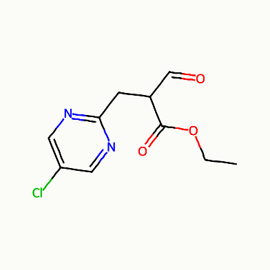 CCOC(=O)C(C=O)Cc1ncc(Cl)cn1